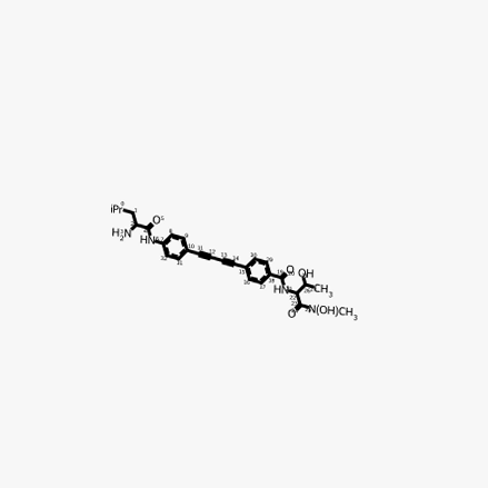 CC(C)CC(N)C(=O)Nc1ccc(C#CC#Cc2ccc(C(=O)NC(C(=O)N(C)O)C(C)O)cc2)cc1